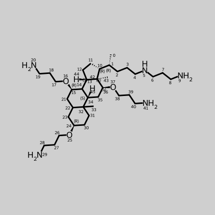 C[C@H](CCCNCCCN)[C@H]1CC[C@H]2C3[C@H](OCCCN)CC4C[C@H](OCCCN)CCC4(C)[C@H]3C[C@H](OCCCN)[C@]12C